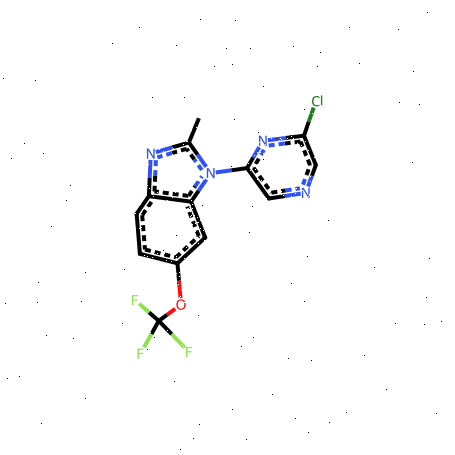 Cc1nc2ccc(OC(F)(F)F)cc2n1-c1cncc(Cl)n1